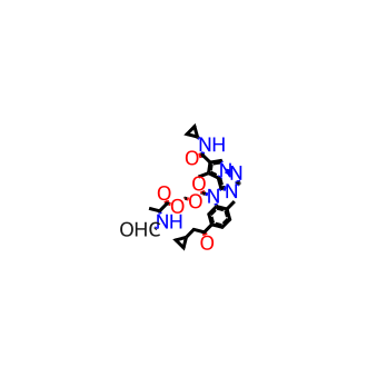 Cc1ccc(C(=O)CC2CC2)cc1N(C(=O)OCOC(=O)C(C)NC=O)c1ncnn2cc(C(=O)NC3CC3)c(C)c12